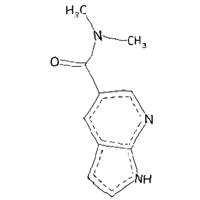 CN(C)C(=O)c1cnc2[nH]ccc2c1